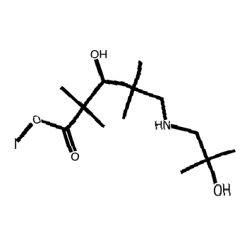 CC(C)(O)CNCC(C)(C)C(O)C(C)(C)C(=O)OI